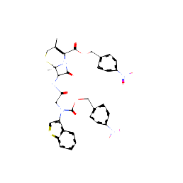 CC1=C(C(=O)OCc2ccc([N+](=O)[O-])cc2)N2C(=O)C(NC(=O)CN(C(=O)OCc3ccc([N+](=O)[O-])cc3)c3csc4ccccc34)[C@@H]2SC1